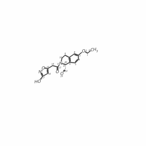 CCOc1ccc2c(c1)CCN(C(=O)Cc1cc(O)no1)[C@H]2C=O